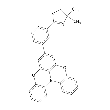 CC1(C)CSC(c2cccc(-c3cc4c5c(c3)Oc3ccccc3B5c3ccccc3O4)c2)=N1